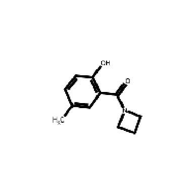 Cc1ccc(O)c(C(=O)N2CCC2)c1